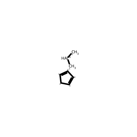 C1=CCC=C1.[CH3][AlH][CH3]